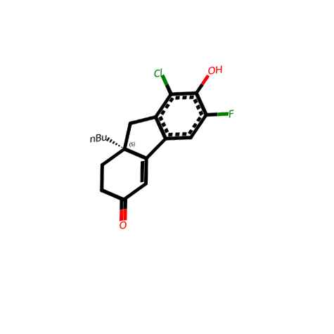 CCCC[C@@]12CCC(=O)C=C1c1cc(F)c(O)c(Cl)c1C2